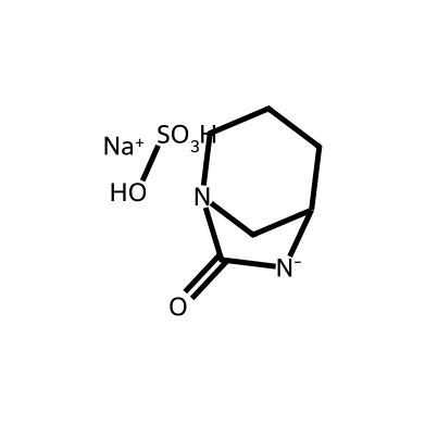 O=C1[N-]C2CCCN1C2.O=S(=O)(O)O.[Na+]